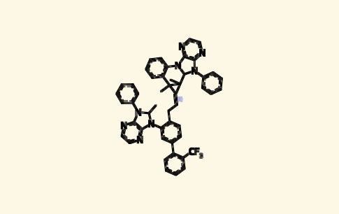 CC1N(c2ccccc2)c2nccnc2N1c1cc(-c2ccccc2C(F)(F)F)ccc1C/C=C1\C2(C)c3ccccc3N3c4nccnc4N(c4ccccc4)C3C12C